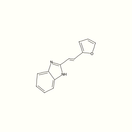 C(=Cc1ccco1)c1nc2ccccc2[nH]1